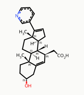 C[C@]12CC[C@H](O)CC1=C[C@H](CC(=O)O)[C@@H]1[C@@H]2CC[C@]2(C)C(c3cccnc3)=CC[C@@H]12